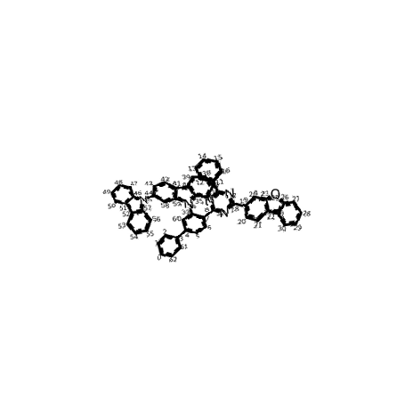 c1ccc(-c2ccc(-c3nc(-c4ccccc4)nc(-c4ccc5c(c4)oc4ccccc45)n3)c(-n3c4ccccc4c4ccc(-n5c6ccccc6c6ccccc65)cc43)c2)cc1